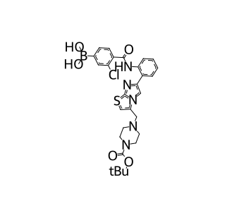 CC(C)(C)OC(=O)N1CCN(Cc2csc3nc(-c4ccccc4NC(=O)c4ccc(B(O)O)cc4Cl)cn23)CC1